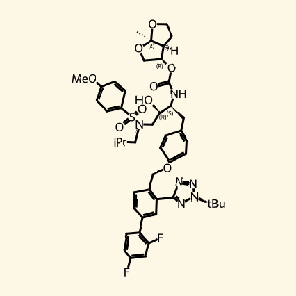 COc1ccc(S(=O)(=O)N(CC(C)C)C[C@@H](O)[C@H](Cc2ccc(OCc3ccc(-c4ccc(F)cc4F)cc3-c3nnn(C(C)(C)C)n3)cc2)NC(=O)O[C@H]2CO[C@@]3(C)OCC[C@@H]23)cc1